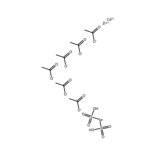 CC(=O)[O-].CC(=O)[O-].CC(=O)[O-].CC(=O)[O-].CC(=O)[O-].CC(=O)[O-].O=S(=O)(O)[Se]S(=O)(=O)O.[Cd+2].[Zr+4]